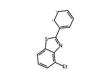 CCc1cccc2sc(C3=CC=C[C][C]3)nc12